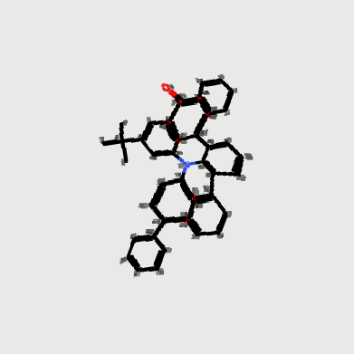 CC(C)(C)c1cc(C(=O)c2ccccc2)cc(N(c2ccc(-c3ccccc3)cc2)c2c(-c3ccccc3)cccc2-c2ccccc2)c1